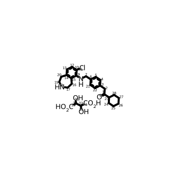 O=C(Cc1ccc(CNc2c(Cl)ccc3c2CCNCC3)cc1)C1CCCCC1.O=C(O)C(O)C(O)C(=O)O